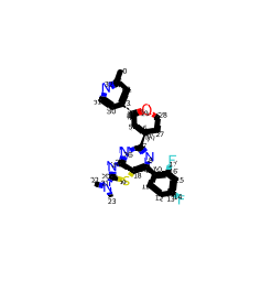 Cc1cc([C@H]2C[C@H](c3nc(-c4ccc(F)cc4F)c4sc(N(C)C)nc4n3)CCO2)ccn1